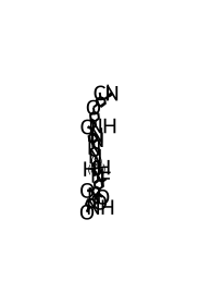 N#Cc1ccc(OC2CCC(NC(=O)c3ccc(N4CCN([C@H]5C[C@@H]6CN(c7cc8c(cc7F)C(=O)N(C7CCC(=O)NC7=O)C8=O)C[C@@H]6C5)CC4)nn3)CC2)cc1Cl